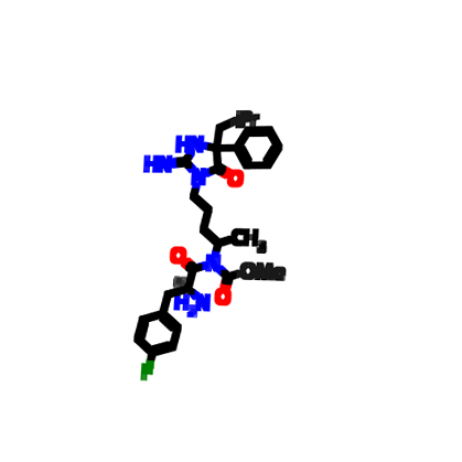 COC(=O)N(C(=O)[C@@H](N)Cc1ccc(F)cc1)C(C)CCCN1C(=N)NC(CC(C)C)(c2ccccc2)C1=O